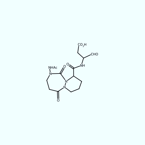 CC(=O)NN1CCC(=O)N2CCCC(C(=O)NC(C=O)CC(=O)O)N2C1=O